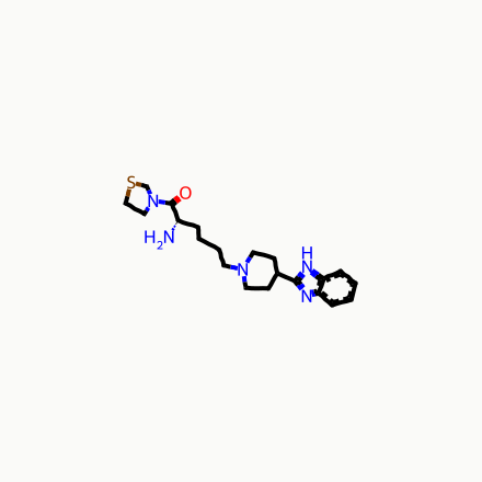 N[C@@H](CCCCN1CCC(c2nc3ccccc3[nH]2)CC1)C(=O)N1CCSC1